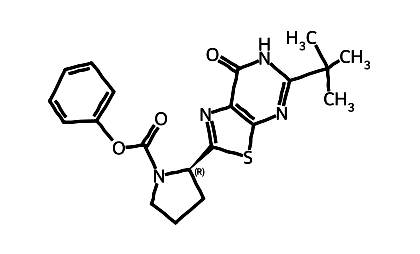 CC(C)(C)c1nc2sc([C@H]3CCCN3C(=O)Oc3ccccc3)nc2c(=O)[nH]1